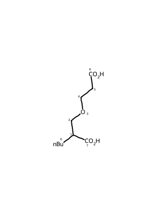 CCCCC(COCCC(=O)O)C(=O)O